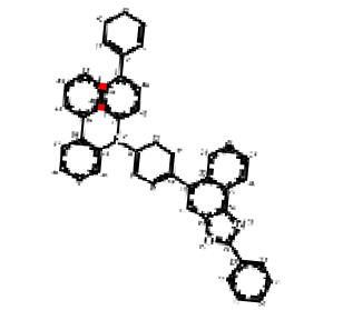 C1=CC(c2ccc(N(C3=CC=C(c4cc5oc(-c6ccccc6)nc5c5ccccc45)CC3)c3ccccc3-c3ccccc3)cc2)=CCC1